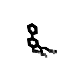 COc1ccc(-c2ccccc2)cc1C(N)CC(=O)O